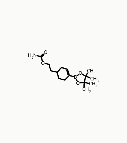 CC1(C)OB(C2=CCC(CCOC(N)=O)CC2)OC1(C)C